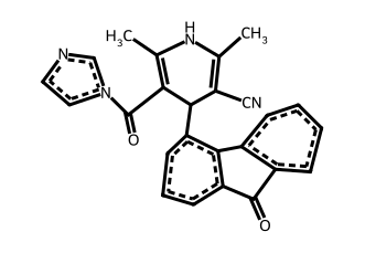 CC1=C(C#N)C(c2cccc3c2-c2ccccc2C3=O)C(C(=O)n2ccnc2)=C(C)N1